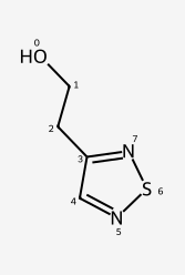 OCCc1cnsn1